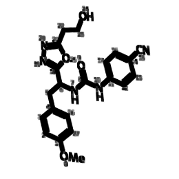 COc1ccc(CC(NC(=O)Nc2ccc(C#N)cc2)c2nnc(CCO)o2)cc1